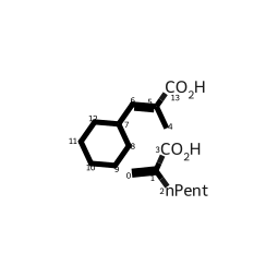 C=C(CCCCC)C(=O)O.CC(=CC1CCCCC1)C(=O)O